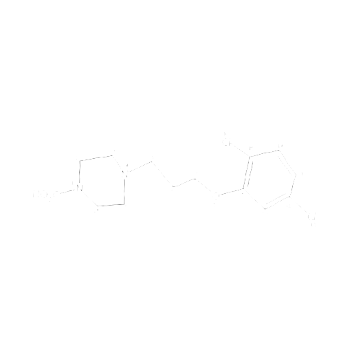 O=C(O)N1CCN(CCCOc2cc(Cl)ccc2Cl)CC1